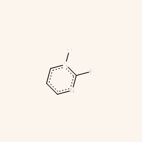 CCc1nccc[n+]1[O-]